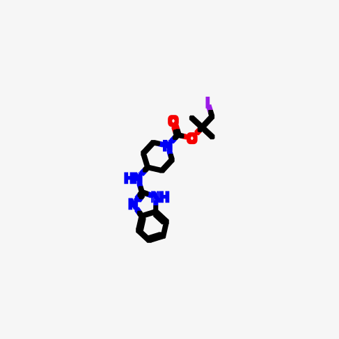 CC(C)(CI)OC(=O)N1CCC(Nc2nc3ccccc3[nH]2)CC1